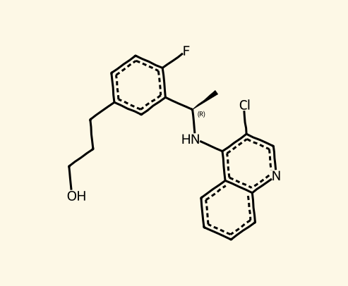 C[C@@H](Nc1c(Cl)cnc2ccccc12)c1cc(CCCO)ccc1F